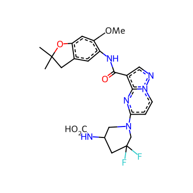 COc1cc2c(cc1NC(=O)c1cnn3ccc(N4CC(NC(=O)O)CC(F)(F)C4)nc13)CC(C)(C)O2